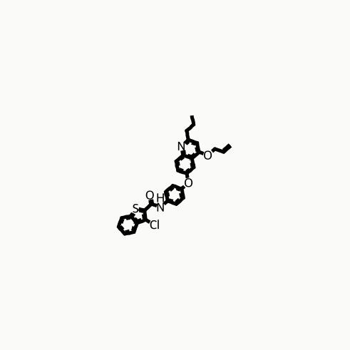 C=CCOc1cc(CCC)nc2ccc(Oc3ccc(NC(=O)c4sc5ccccc5c4Cl)cc3)cc12